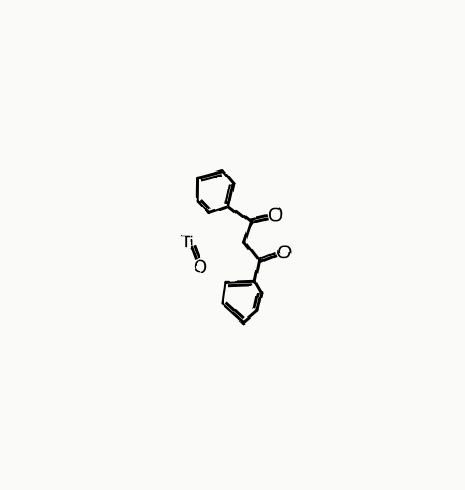 O=C(CC(=O)c1ccccc1)c1ccccc1.[O]=[Ti]